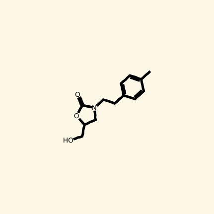 Cc1ccc(CCN2CC(CO)OC2=O)cc1